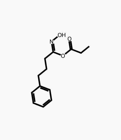 CCC(=O)O/C(CCCc1ccccc1)=N\O